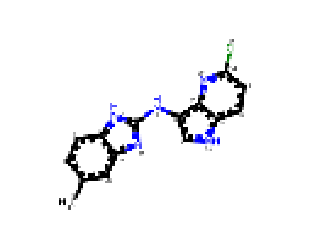 Cc1ccc2[nH]c(Nc3c[nH]c4ccc(Cl)nc34)nc2c1